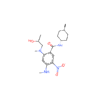 CNc1cc(N(C)CC(C)O)c(C(=O)N[C@H]2CC[C@H](C)CC2)cc1[N+](=O)[O-]